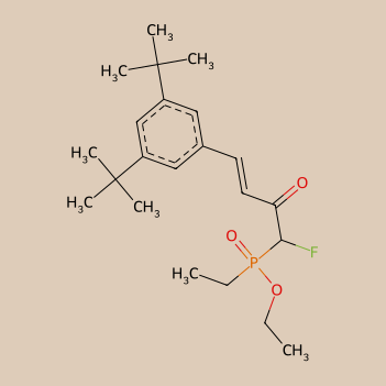 CCOP(=O)(CC)C(F)C(=O)C=Cc1cc(C(C)(C)C)cc(C(C)(C)C)c1